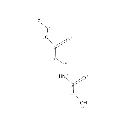 CCOC(=O)CCNC(=O)CO